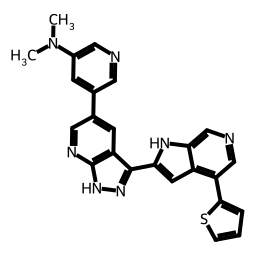 CN(C)c1cncc(-c2cnc3[nH]nc(-c4cc5c(-c6cccs6)cncc5[nH]4)c3c2)c1